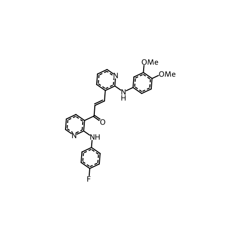 COc1ccc(Nc2ncccc2/C=C/C(=O)c2cccnc2Nc2ccc(F)cc2)cc1OC